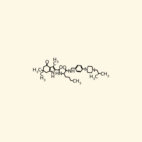 CCCCC(NC(=O)c1[nH]c2c(c1C)C(=O)CC(C)(C)C2)C(=O)NCc1ccc(N2CCN(CC(C)C)CC2)cc1